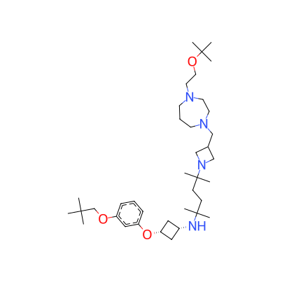 CC(C)(C)COc1cccc(O[C@H]2C[C@@H](NC(C)(C)CCC(C)(C)N3CC(CN4CCCN(CCOC(C)(C)C)CC4)C3)C2)c1